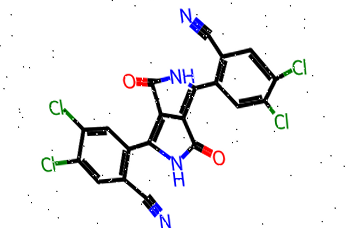 N#Cc1cc(Cl)c(Cl)cc1C1=C2C(=O)NC(c3cc(Cl)c(Cl)cc3C#N)=C2C(=O)N1